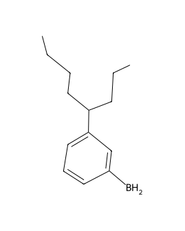 Bc1cccc(C(CCC)CCCC)c1